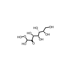 O=C(C(O)OO)[C@@H](O)[C@H](O)[C@H](O)[C@H](O)CO